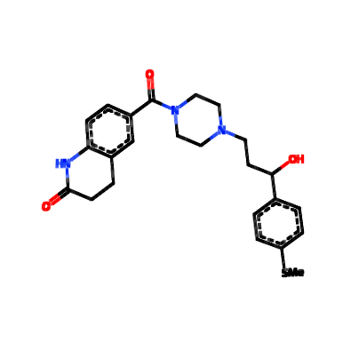 CSc1ccc(C(O)CCN2CCN(C(=O)c3ccc4c(c3)CCC(=O)N4)CC2)cc1